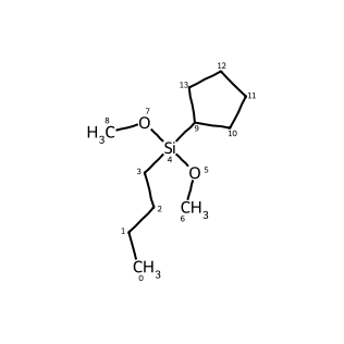 CCCC[Si](OC)(OC)C1CCCC1